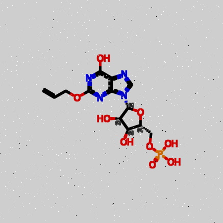 C=CCOc1nc(O)c2ncn([C@@H]3O[C@H](COP(=O)(O)O)[C@@H](O)[C@H]3O)c2n1